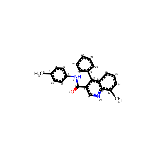 Cc1ccc(NC(=O)c2cnc3c(C(F)(F)F)cccc3c2-c2ccccc2)cc1